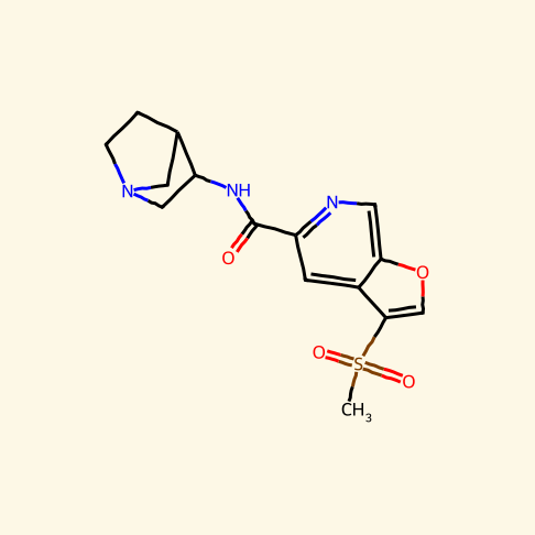 CS(=O)(=O)c1coc2cnc(C(=O)NC3CN4CCC3C4)cc12